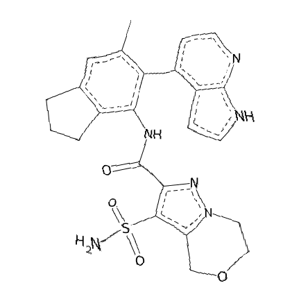 Cc1cc2c(c(NC(=O)c3nn4c(c3S(N)(=O)=O)COCC4)c1-c1ccnc3[nH]ccc13)CCC2